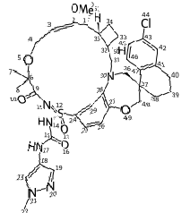 CO[C@H]1C=CCOC(C)(C)C(=O)N=[S@@](=O)(NC(=O)Nc2cnn(C)c2)c2ccc3c(c2)N(C[C@@H]2CC[C@H]21)C[C@@]1(CCCc2cc(Cl)ccc21)CO3